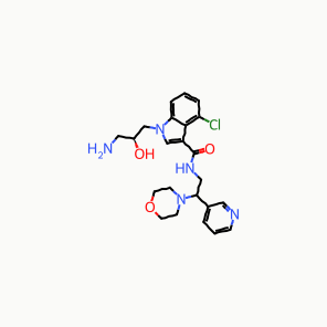 NC[C@H](O)Cn1cc(C(=O)NCC(c2cccnc2)N2CCOCC2)c2c(Cl)cccc21